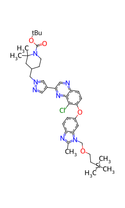 Cc1nc2ccc(Oc3ccc4ncc(-c5cnn(CC6CCN(C(=O)OC(C)(C)C)C(C)(C)C6)c5)nc4c3Cl)cc2n1COCC[Si](C)(C)C